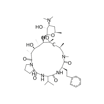 CC(C)C1NC(=O)[C@@H]2CCCN2C(=O)[C@H](C)[C@@H](O)[C@H](C)[C@@H](O[C@@H]2O[C@H](C)C[C@H](N(C)C)[C@H]2O)[C@](C)(O)C[C@@H](C)CN(C)C(=O)[C@@H](CCc2ccccc2)NC1=O